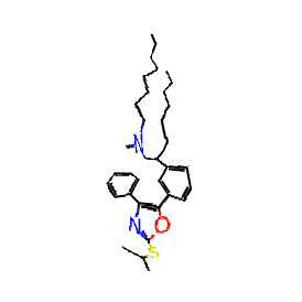 CCCCCCCCN(C)CC(CCCCCC)c1cccc(-c2oc(SC(C)C)nc2-c2ccccc2)c1